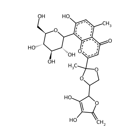 C=C1OC(C2COC(C)(c3cc(=O)c4c(C)cc(O)c(C5O[C@H](CO)[C@@H](O)[C@H](O)[C@H]5O)c4o3)O2)C(O)=C1O